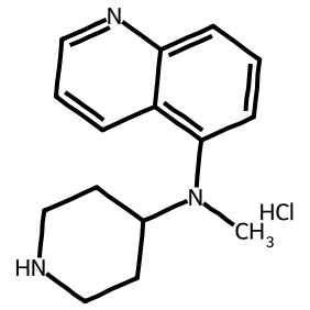 CN(c1cccc2ncccc12)C1CCNCC1.Cl